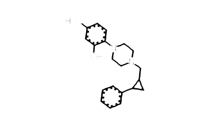 Cc1ccc(N2CCN(CC3CC3c3ccccc3)CC2)c(C)c1